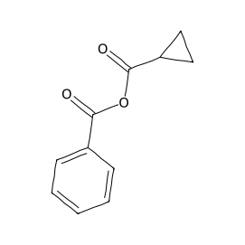 O=C(OC(=O)C1CC1)c1ccccc1